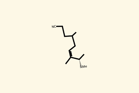 CN[C@@H](C)/C(C)=C\CC(C)CCC#N